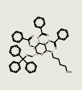 CCCCCCCCCCCCCCO[C@H]1O[C@H](COC(c2ccccc2)(c2ccccc2)c2ccccc2)[C@@H](OC(=O)c2ccccc2)[C@H](OC(=O)c2ccccc2)[C@H]1OC(=O)c1ccccc1